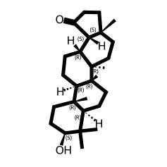 CC1(C)[C@@H](O)CC[C@]2(C)[C@H]3CC[C@@H]4[C@@H]5C(=O)CC[C@]5(C)CC[C@@]4(C)[C@]3(C)CC[C@@H]12